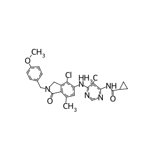 COc1ccc(CN2Cc3c(Cl)c(Nc4ncnc(NC(=O)C5CC5)c4C)cc(C)c3C2=O)cc1